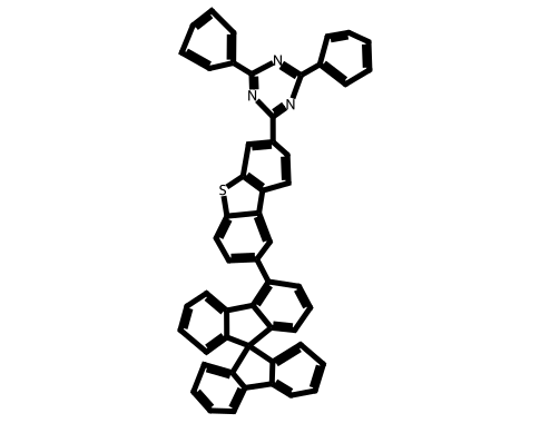 c1ccc(-c2nc(-c3ccccc3)nc(-c3ccc4c(c3)sc3ccc(-c5cccc6c5-c5ccccc5C65c6ccccc6-c6ccccc65)cc34)n2)cc1